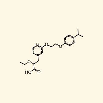 CCOC(Cc1ccnc(OCCOc2ccc(C(C)C)cc2)c1)C(=O)O